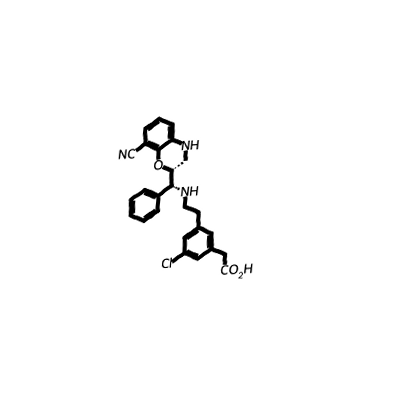 N#Cc1cccc2c1O[C@@H]([C@H](NCCc1cc(Cl)cc(CC(=O)O)c1)c1ccccc1)CN2